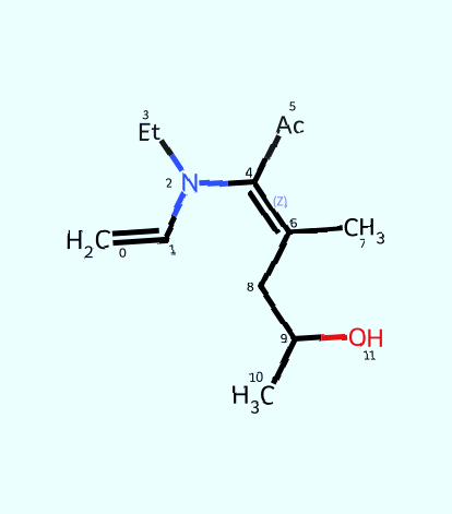 C=CN(CC)/C(C(C)=O)=C(/C)CC(C)O